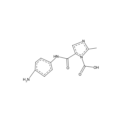 Cc1ncc(C(=O)Nc2ccc(N)cc2)n1C(=O)O